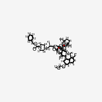 CCc1c(F)ccc2cc(OCOC)cc(-c3ncc4c(N5C[C@H]6CC[C@@H](C5)N6C(=O)OC(C)(C)C)nc(OC[C@H](C)CN5CCN(C(=O)OCc6ccccc6)CC5)nc4c3F)c12